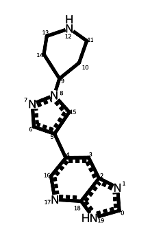 c1nc2cc(-c3cnn(C4CCNCC4)c3)cnc2[nH]1